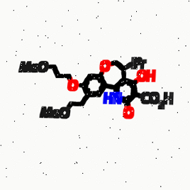 COCCCOc1cc2c(cc1CCOC)-c1[nH]c(=O)c(C(=O)O)c(O)c1[C@H](C(C)C)CO2